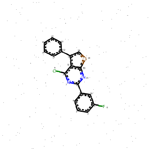 Fc1cccc(-c2nc(Cl)c3c(-c4ccccc4)csc3n2)c1